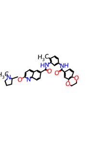 Cc1ccc(NC(=O)c2ccc3c(c2)OCCO3)cc1NC(=O)c1ccc2nc(OCC3CCCN3C)ccc2c1